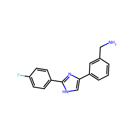 NCc1cccc(-c2c[nH]c(-c3ccc(F)cc3)n2)c1